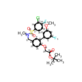 COc1cc(F)cc(-c2cc(CN(C)S(=O)(=O)c3ccc(F)c(Cl)c3)ccc2OCC(=O)OC(C)(C)C)c1